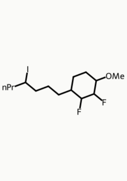 CCCC(I)CCCC1CCC(OC)C(F)C1F